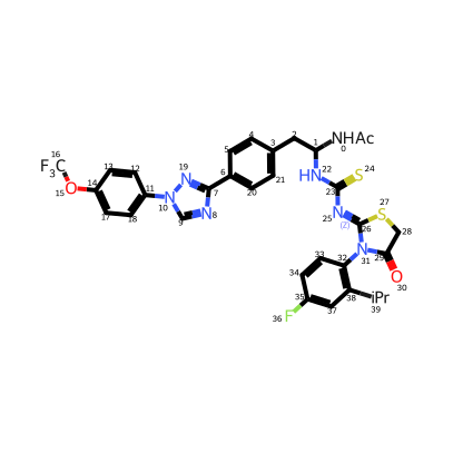 CC(=O)NC(Cc1ccc(-c2ncn(-c3ccc(OC(F)(F)F)cc3)n2)cc1)NC(=S)/N=C1\SCC(=O)N1c1ccc(F)cc1C(C)C